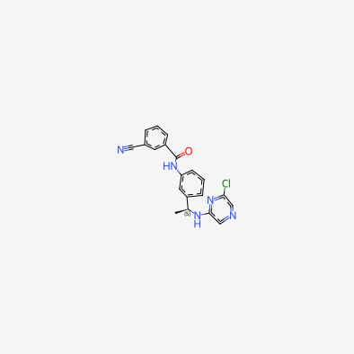 C[C@H](Nc1cncc(Cl)n1)c1cccc(NC(=O)c2cccc(C#N)c2)c1